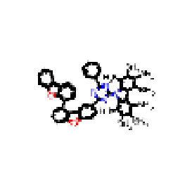 Bc1c(B)c(B)c2c(c1B)c1c(B)c(B)c(B)c(B)c1n2-c1nc(-c2ccccc2)nc(-c2ccc3oc4cccc(-c5cccc6c5oc5ccccc56)c4c3c2)n1